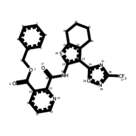 O=C(OCc1ccccc1)c1cccnc1C(=O)Nc1sc2c(c1-c1nc(C(F)(F)F)no1)CCCC2